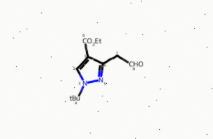 CCOC(=O)c1cn(C(C)(C)C)nc1CC=O